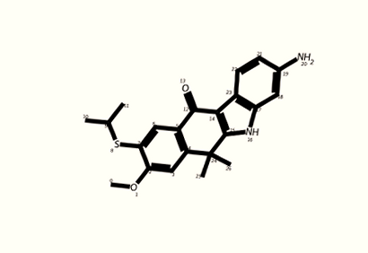 COc1cc2c(cc1SC(C)C)C(=O)c1c([nH]c3cc(N)ccc13)C2(C)C